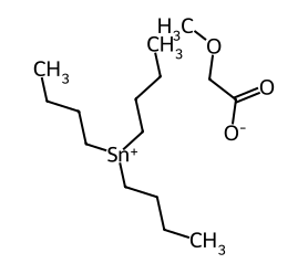 CCC[CH2][Sn+]([CH2]CCC)[CH2]CCC.COCC(=O)[O-]